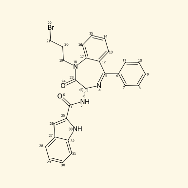 O=C(N[C@H]1N=C(c2ccccc2)c2ccccc2N(CCCBr)C1=O)c1cc2ccccc2[nH]1